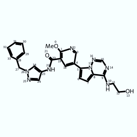 COc1ncc(-c2ccc3c(NCCO)ncnn23)cc1C(=O)Nc1cnn(Cc2ccccc2)c1